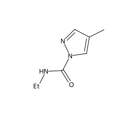 CCNC(=O)n1cc(C)cn1